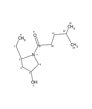 CCC1CC(O)CN1C(=O)CCC(C)C